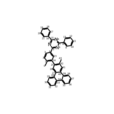 Cc1ccc(-c2nc(-c3ccccc3)nc(-c3ccccc3)n2)cc1-c1cc2c3ccccc3c3ccccc3c2cc1C